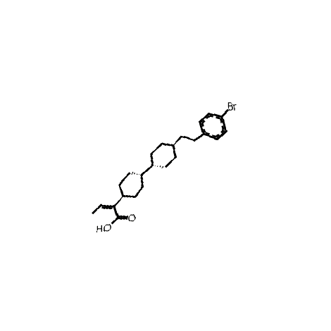 CC=C(C(=O)O)[C@H]1CC[C@H]([C@H]2CC[C@H](CCc3ccc(Br)cc3)CC2)CC1